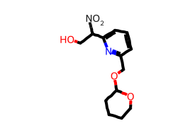 O=[N+]([O-])C(CO)c1cccc(COC2CCCCO2)n1